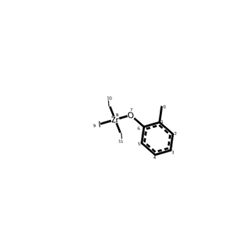 Cc1ccccc1[O][Zr]([I])([I])[I]